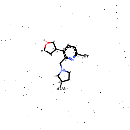 CO[C@@H]1CCN(Cc2nc(C(C)C)ccc2[C@H]2CCOC2)C1